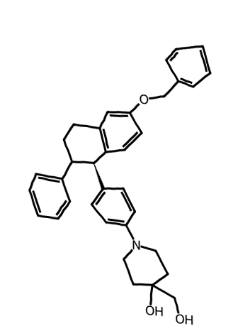 OCC1(O)CCN(c2ccc([C@@H]3c4ccc(OCc5ccccc5)cc4CCC3c3ccccc3)cc2)CC1